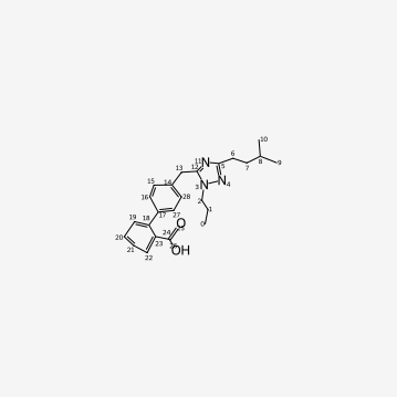 CCCn1nc(CCC(C)C)nc1Cc1ccc(-c2ccccc2C(=O)O)cc1